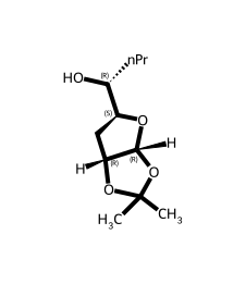 CCC[C@@H](O)[C@@H]1C[C@H]2OC(C)(C)O[C@H]2O1